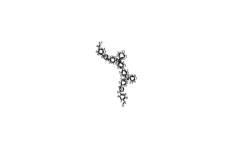 C=Cc1ccc(COCc2ccc(N(c3ccccc3)c3ccc(-c4ccc(N(c5ccccc5)c5ccc(COCc6ccc(C=C)cc6)cc5)cc4)cc3)cc2)cc1